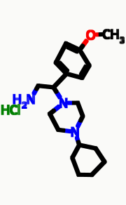 COc1ccc(C(CN)N2CCN(C3CCCCC3)CC2)cc1.Cl